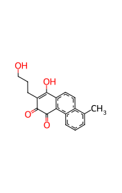 Cc1cccc2c3c(ccc12)C(O)=C(CCCO)C(=O)C3=O